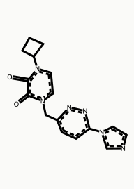 O=c1c(=O)n(C2CCC2)ccn1Cc1ccc(-n2ccnc2)nn1